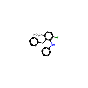 O=C(O)c1ccc(F)c(Nc2ccccc2)c1Cc1ccccc1